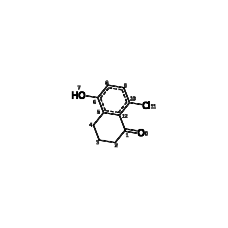 O=C1CCCc2c(O)ccc(Cl)c21